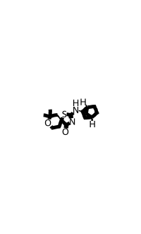 CC1(C)C[C@@]2(CCO1)SC(N[C@H]1C[C@H]3CC[C@H]1C3)=NC2=O